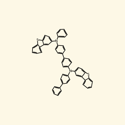 c1ccc(-c2ccc(N(c3ccc(-c4ccc(N(c5ccccc5)c5ccc6sc7ccccc7c6c5)cc4)cc3)c3ccc4sc5ccccc5c4c3)cc2)cc1